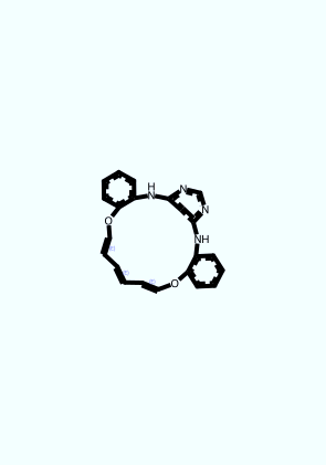 C1=C/C=C/Oc2ccccc2Nc2cc(ncn2)Nc2ccccc2O/C=C/1